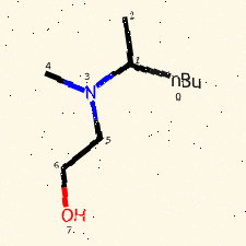 CCCCC(C)N(C)CCO